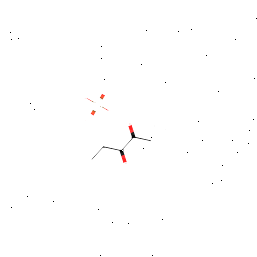 CCC(=O)C(C)=O.O=S(=O)([O-])[O-].[Cu+2]